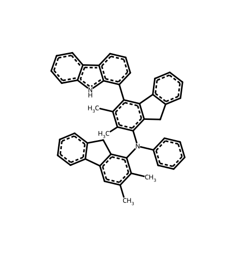 Cc1cc2c(c(N(c3ccccc3)c3c(C)c(C)c(-c4cccc5c4[nH]c4ccccc45)c4c3Cc3ccccc3-4)c1C)Cc1ccccc1-2